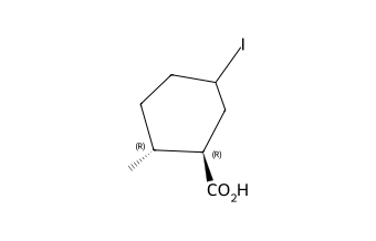 C[C@@H]1CCC(I)C[C@H]1C(=O)O